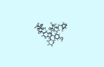 COc1ccc2c(c1)C1CN(Cc3cncn3C)CC1(C(=O)N(C)C)CN1C2=C(C2CCCCC2)C2C=CC(C(=O)NS(=O)(=O)N(C)C)=CC21